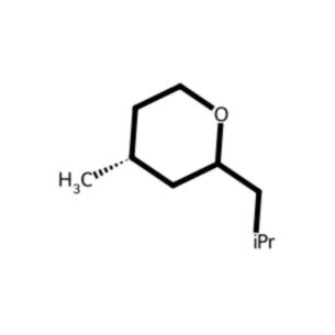 CC(C)CC1C[C@H](C)CCO1